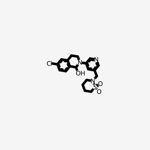 O=S1(=O)CCCCN1Cc1cncc(N2CCc3cc(Cl)ccc3C2O)c1